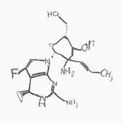 CC#CC1(N)C(O)[C@@H](CO)O[C@H]1n1cc(F)c2c(=O)[nH]c(N)nc21